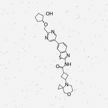 O=C(Nc1nc2ccc(-c3cnc(CO[C@H]4CCC[C@@H]4O)nc3)cc2s1)C1CC(N2CCOCC23CC3)C1